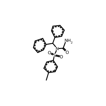 Cc1ccc(S(=O)(=O)N(C(N)=O)C(c2ccccc2)c2ccccc2)cc1